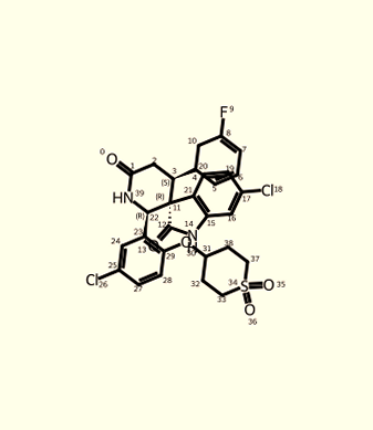 O=C1C[C@@H](C2C=CC=C(F)C2)[C@]2(C(=O)Nc3cc(Cl)ccc32)[C@@H](c2cc(Cl)ccc2OC2CCS(=O)(=O)CC2)N1